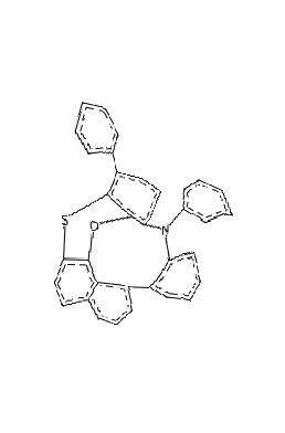 c1ccc(-c2ccc3c4c2Sc2ccc5cccc(c5c2O4)-c2ccccc2N3c2ccccc2)cc1